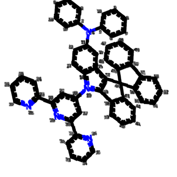 c1ccc(N(c2ccccc2)c2ccc3c(c2)c2c(n3-c3cc(-c4ccccn4)nc(-c4ccccn4)c3)-c3ccccc3C23c2ccccc2-c2ccccc23)cc1